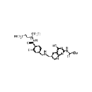 CCOC(=O)CC[C@H](NC(=O)c1ccc(CNCc2cnc3nc(NC(=O)C(C)(C)C)nc(O)c3c2)cc1Cl)C(=O)OCC